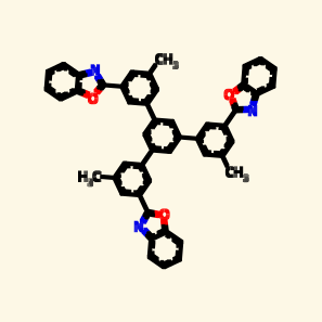 Cc1cc(-c2cc(-c3cc(C)cc(-c4nc5ccccc5o4)c3)cc(-c3cc(C)cc(-c4nc5ccccc5o4)c3)c2)cc(-c2nc3ccccc3o2)c1